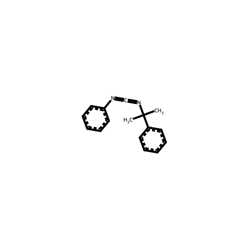 CC(C)(N=C=Nc1ccccc1)c1ccccc1